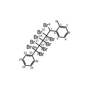 Cc1ccccc1C(Br)C(Br)(Br)C(Br)(Br)C(Br)(Br)C(Br)(Br)c1ccccc1